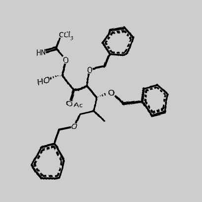 CC(=O)OC(C(OCc1ccccc1)[C@H](OCc1ccccc1)C(C)COCc1ccccc1)[C@H](O)OC(=N)C(Cl)(Cl)Cl